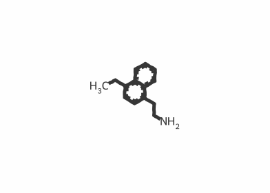 CCc1ccc(CCN)c2ccccc12